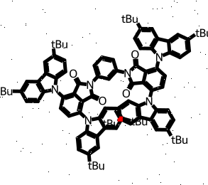 CC(C)(C)c1ccc2c(c1)c1cc(C(C)(C)C)ccc1n2-c1ccc(-n2c3ccc(C(C)(C)C)cc3c3cc(C(C)(C)C)ccc32)c2c1C(=O)N(c1cccc(N3C(=O)c4c(-n5c6ccc(C(C)(C)C)cc6c6cc(C(C)(C)C)ccc65)ccc(-n5c6ccc(C(C)(C)C)cc6c6cc(C(C)(C)C)ccc65)c4C3=O)c1)C2=O